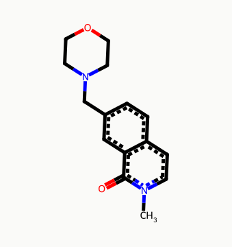 Cn1ccc2ccc(CN3CCOCC3)cc2c1=O